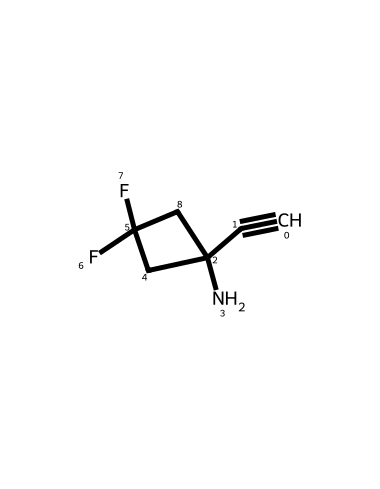 C#CC1(N)CC(F)(F)C1